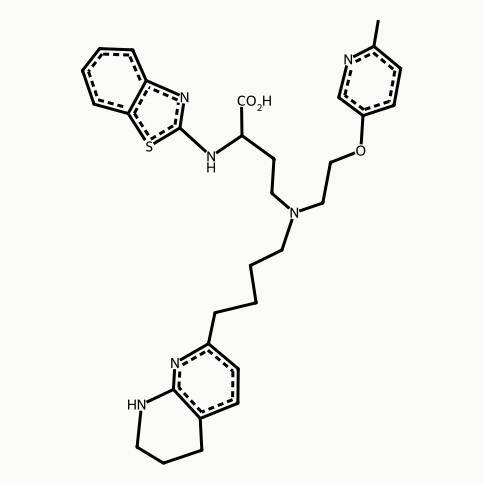 Cc1ccc(OCCN(CCCCc2ccc3c(n2)NCCC3)CCC(Nc2nc3ccccc3s2)C(=O)O)cn1